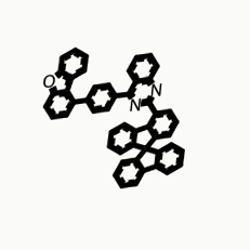 c1ccc2c(c1)-c1ccccc1C21c2ccccc2-c2c(-c3nc(-c4ccc(-c5cccc6oc7ccccc7c56)cc4)c4ccccc4n3)cccc21